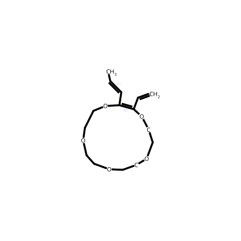 C=C/C1=C(\C=C\C)OCCOCCOCCOCCO1